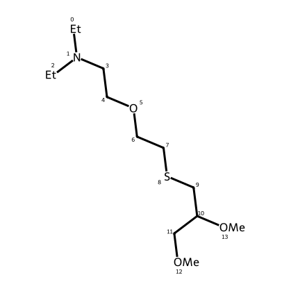 CCN(CC)CCOCCSCC(COC)OC